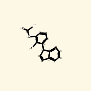 Fc1c(OC(F)F)cccc1C1C=Cc2ccccc21